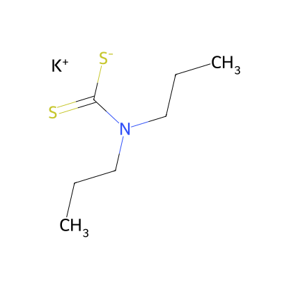 CCCN(CCC)C(=S)[S-].[K+]